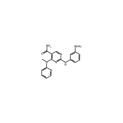 CC(=O)Nc1cccc(Nc2ncc(C(N)=O)c(N(C)c3ccccn3)n2)c1